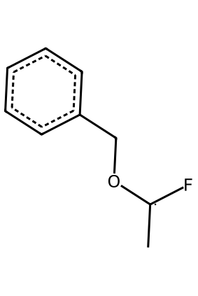 C[C](F)OCc1ccccc1